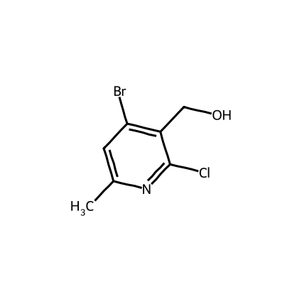 Cc1cc(Br)c(CO)c(Cl)n1